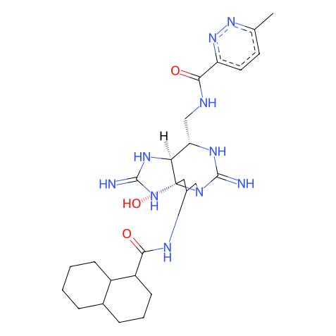 Cc1ccc(C(=O)NC[C@@H]2NC(=N)N3CC(NC(=O)C4CCCC5CCCCC54)[C@@H](O)[C@@]34NC(=N)N[C@@H]24)nn1